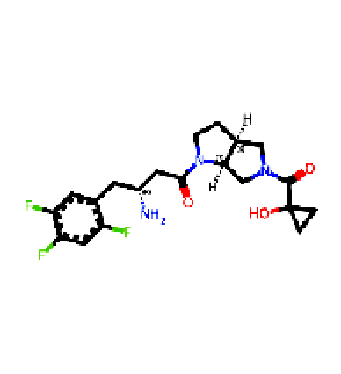 N[C@@H](CC(=O)N1CC[C@H]2CN(C(=O)C3(O)CC3)C[C@H]21)Cc1cc(F)c(F)cc1F